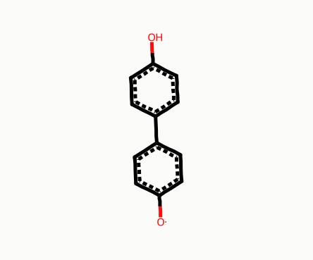 [O]c1ccc(-c2ccc(O)cc2)cc1